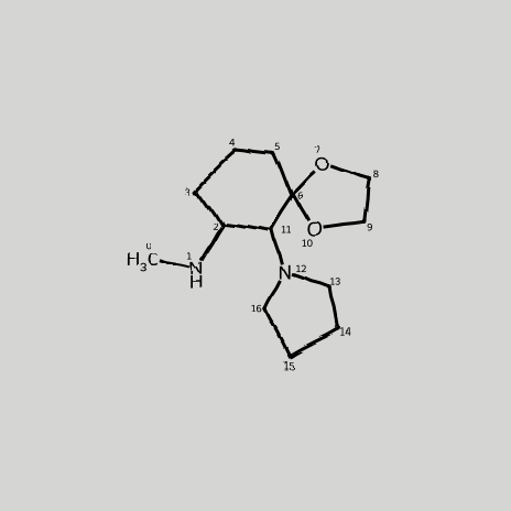 CNC1CCCC2(OCCO2)C1N1CCCC1